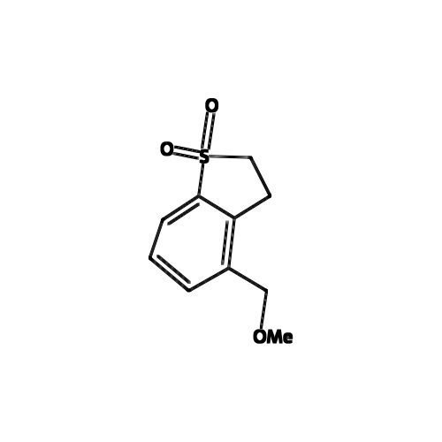 COCc1cccc2c1CCS2(=O)=O